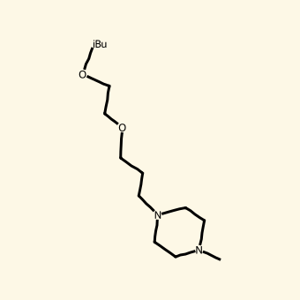 CCC(C)OCCOCCCN1CCN(C)CC1